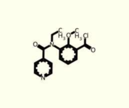 CCN(C(=O)c1ccncc1)c1cccc(C(=O)Cl)c1OC